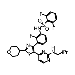 CC(C)CNc1nccc(-c2sc(C3CCOCC3)nc2-c2cccc(NS(=O)(=O)c3c(F)cccc3F)c2F)n1